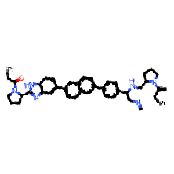 C=NCC(NCC1CCCN1C(=C)CC(C)C)c1ccc(-c2ccc3cc(C4=CC5N=C(C6CCCN6C(=O)CC(C)C)NC5C=C4)ccc3c2)cc1